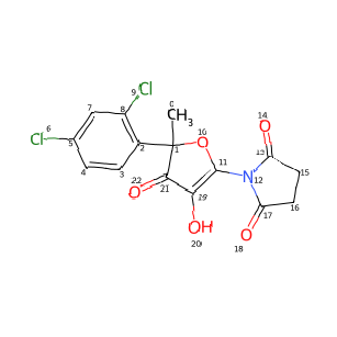 CC1(c2ccc(Cl)cc2Cl)OC(N2C(=O)CCC2=O)=C(O)C1=O